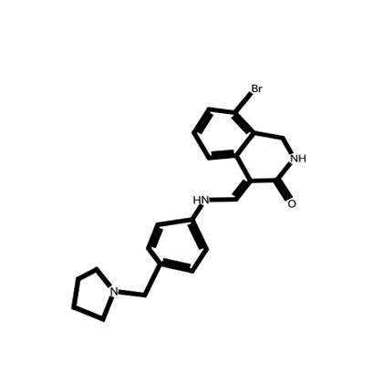 O=C1NCc2c(Br)cccc2/C1=C\Nc1ccc(CN2CCCC2)cc1